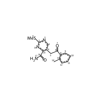 CSc1ncc(CC(=O)c2ccccc2C)c(C(N)=O)n1